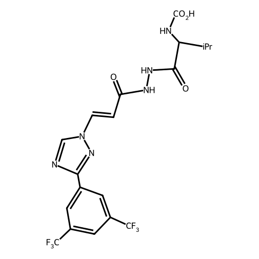 CC(C)C(NC(=O)O)C(=O)NNC(=O)C=Cn1cnc(-c2cc(C(F)(F)F)cc(C(F)(F)F)c2)n1